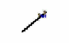 CCCCCCCCCCCCCCCCCC(=S)NCCSC